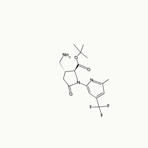 Cc1cc(C(F)(F)F)cc(N2C(=O)C[C@H](CN)[C@H]2C(=O)OC(C)(C)C)n1